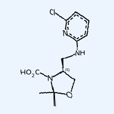 CC1(C)OC[C@H](CNc2cccc(Cl)n2)N1C(=O)O